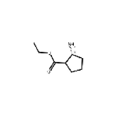 CCOC(=O)C1CCC[C@H]1N